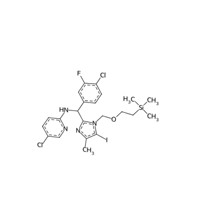 Cc1nc(C(Nc2ccc(Cl)cn2)c2ccc(Cl)c(F)c2)n(COCC[Si](C)(C)C)c1I